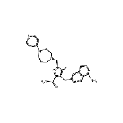 Cc1c(CN2CCCN(c3ccncc3)CC2)sc(C(N)=O)c1Cc1ccc2c(N)nccc2c1